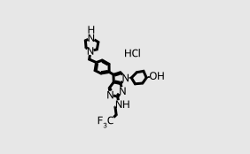 Cl.O[C@H]1CC[C@H](n2cc(-c3ccc(CN4CCNCC4)cc3)c3cnc(NCCC(F)(F)F)nc32)CC1